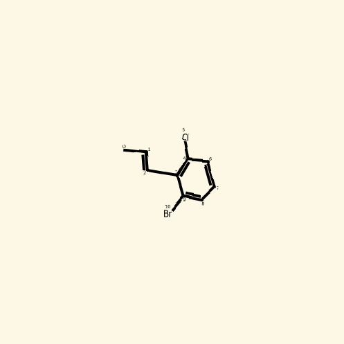 CC=Cc1c(Cl)cccc1Br